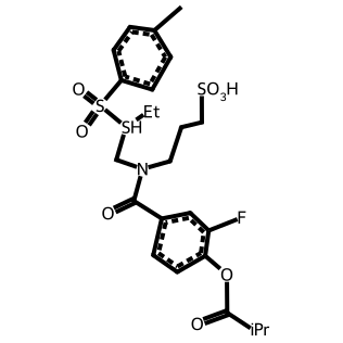 CC[SH](CN(CCCS(=O)(=O)O)C(=O)c1ccc(OC(=O)C(C)C)c(F)c1)S(=O)(=O)c1ccc(C)cc1